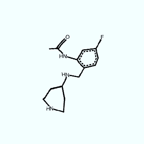 CC(=O)Nc1cc(F)ccc1CNC1CCNCC1